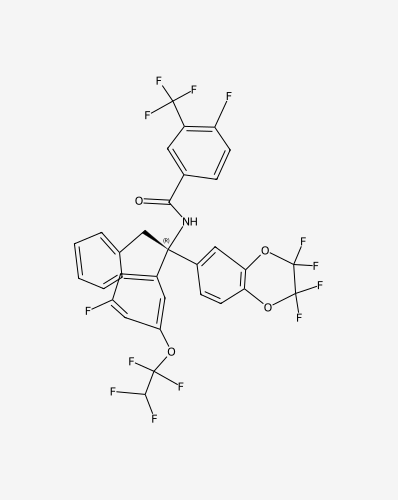 O=C(N[C@@](Cc1ccccc1)(c1cc(F)cc(OC(F)(F)C(F)F)c1)c1ccc2c(c1)OC(F)(F)C(F)(F)O2)c1ccc(F)c(C(F)(F)F)c1